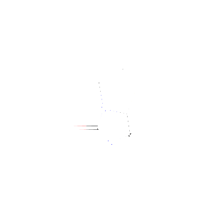 O=C1[N]C(=O)N2CCSC12